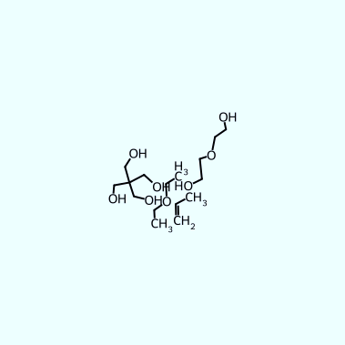 C=CC.CCOCC.OCC(CO)(CO)CO.OCCOCCO